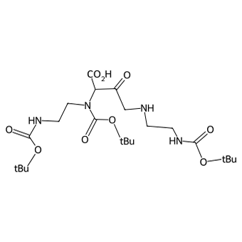 CC(C)(C)OC(=O)NCCNCC(=O)C(C(=O)O)N(CCNC(=O)OC(C)(C)C)C(=O)OC(C)(C)C